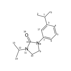 CC(C)c1cccc(N2CCN(C(C)C)C2=O)c1